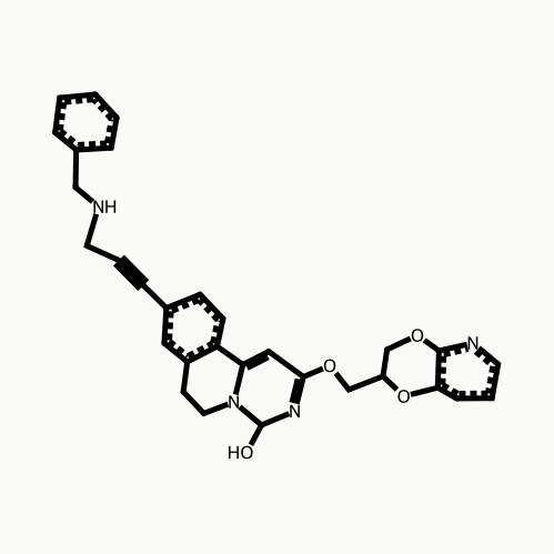 OC1N=C(OCC2COc3ncccc3O2)C=C2c3ccc(C#CCNCc4ccccc4)cc3CCN21